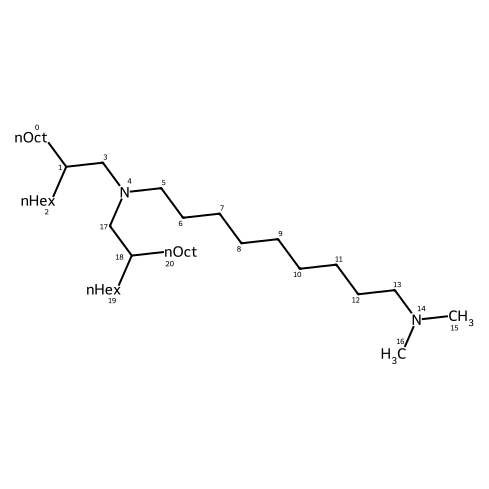 CCCCCCCCC(CCCCCC)CN(CCCCCCCCCN(C)C)CC(CCCCCC)CCCCCCCC